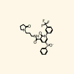 O=C(NCCCN1CCCC1=O)c1cc([S+]([O-])c2ccccc2)cn(-c2cccc(C(F)(F)F)c2)c1=O